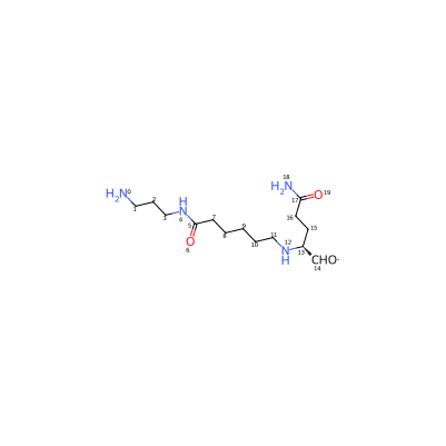 NCCCNC(=O)CCCCCN[C@H]([C]=O)CCC(N)=O